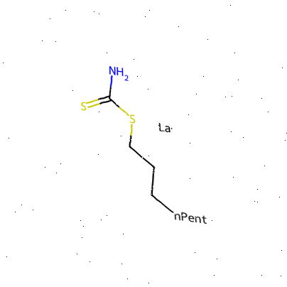 CCCCCCCCSC(N)=S.[La]